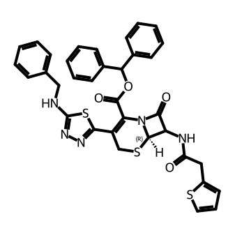 O=C(Cc1cccs1)NC1C(=O)N2C(C(=O)OC(c3ccccc3)c3ccccc3)=C(c3nnc(NCc4ccccc4)s3)CS[C@H]12